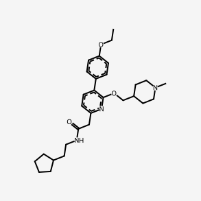 CCOc1ccc(-c2ccc(CC(=O)NCCC3CCCC3)nc2OCC2CCN(C)CC2)cc1